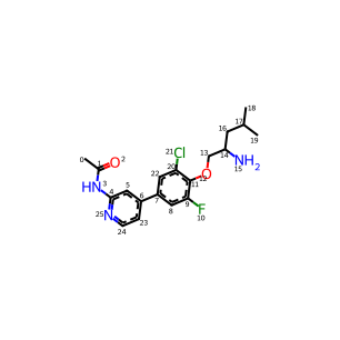 CC(=O)Nc1cc(-c2cc(F)c(OCC(N)CC(C)C)c(Cl)c2)ccn1